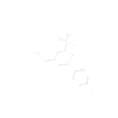 CC(C)OC1CC(S(N)(=O)=O)CN(c2ncc(F)cn2)C1